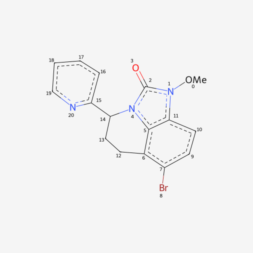 COn1c(=O)n2c3c(c(Br)ccc31)CCC2c1ccccn1